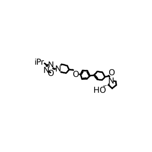 CC(C)c1noc(N2CCC(COc3ccc(C4=CCC(C(=O)N5CCC[C@@H]5CO)CC4)cc3)CC2)n1